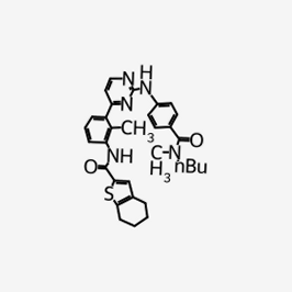 CCCCN(C)C(=O)c1ccc(Nc2nccc(-c3cccc(NC(=O)c4cc5c(s4)CCCC5)c3C)n2)cc1